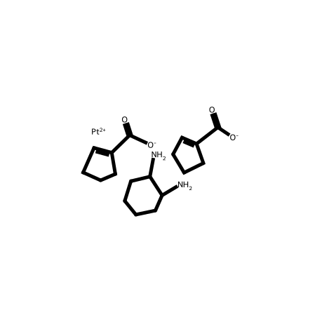 NC1CCCCC1N.O=C([O-])C1=CCCC1.O=C([O-])C1=CCCC1.[Pt+2]